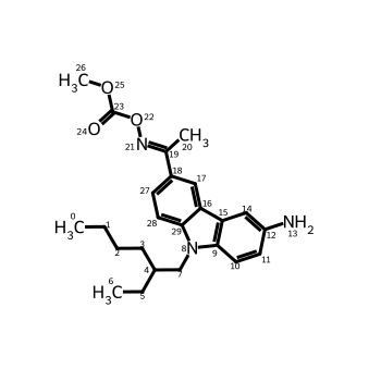 CCCCC(CC)Cn1c2ccc(N)cc2c2cc(/C(C)=N/OC(=O)OC)ccc21